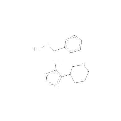 CCOC(=O)c1csnc1C1CCCNC1.O=COCc1ccccc1